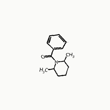 CC1CCCC(C)N1C(=O)c1c[c]ccc1